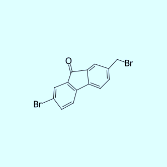 O=C1c2cc(Br)ccc2-c2ccc(CBr)cc21